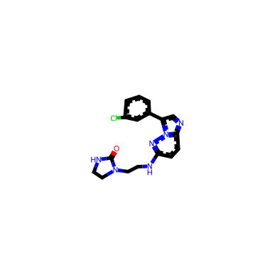 O=C1NCCN1CCNc1ccc2ncc(-c3cccc(Cl)c3)n2n1